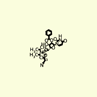 CC(C)N(C(C)C)P(OCCC#N)OC[C@H]1O[C@@H](n2ccc(=O)[nH]c2=O)[C@H](OC(=O)c2ccccc2)[C@@H]1O